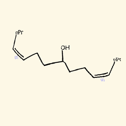 CCC/C=C\CCC(O)CC/C=C\CCC